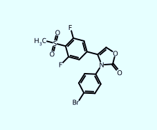 CS(=O)(=O)c1c(F)cc(-c2coc(=O)n2-c2ccc(Br)cc2)cc1F